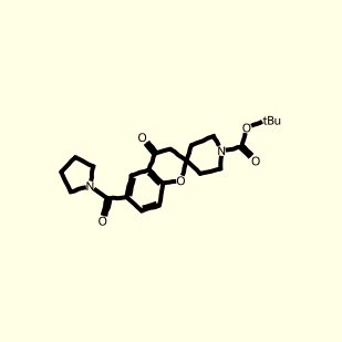 CC(C)(C)OC(=O)N1CCC2(CC1)CC(=O)c1cc(C(=O)N3CCCC3)ccc1O2